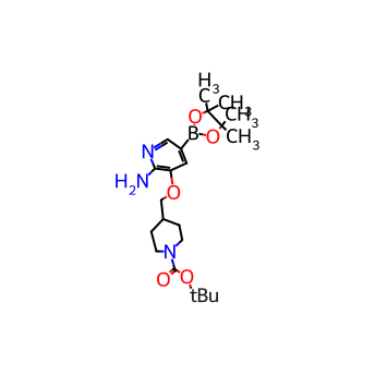 CC(C)(C)OC(=O)N1CCC(COc2cc(B3OC(C)(C)C(C)(C)O3)cnc2N)CC1